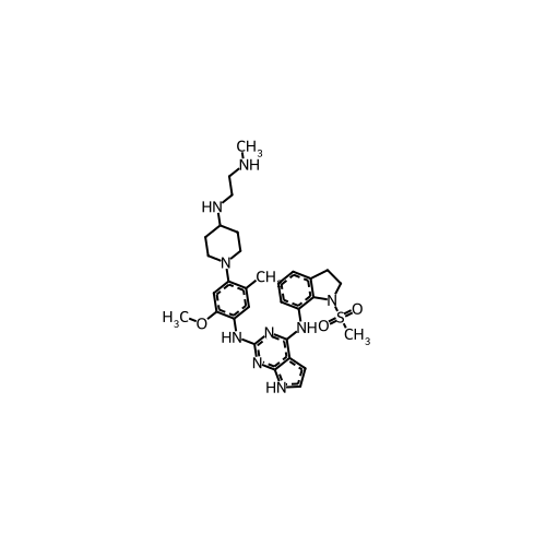 CNCCNC1CCN(c2cc(OC)c(Nc3nc(Nc4cccc5c4N(S(C)(=O)=O)CC5)c4cc[nH]c4n3)cc2C)CC1